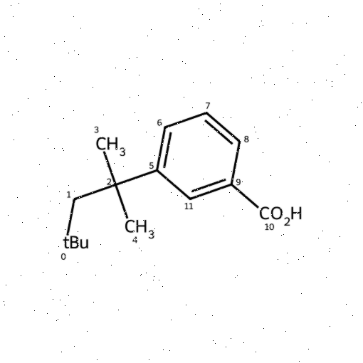 CC(C)(C)CC(C)(C)c1cccc(C(=O)O)c1